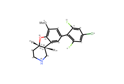 COc1cc(-c2c(F)cc(Cl)cc2F)cc2c1O[C@H]1CCNC[C@@H]21